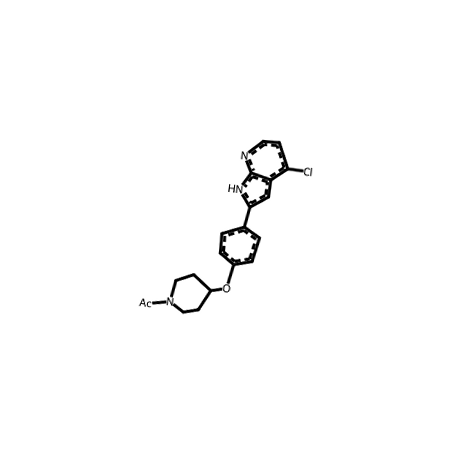 CC(=O)N1CCC(Oc2ccc(-c3cc4c(Cl)ccnc4[nH]3)cc2)CC1